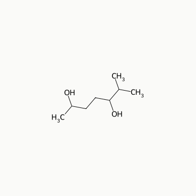 CC(O)CCC(O)C(C)C